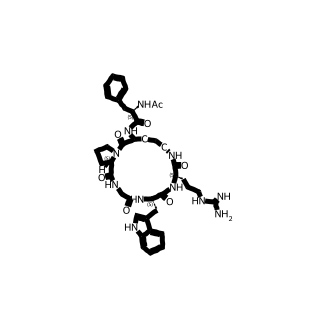 CC(=O)N[C@@H](Cc1ccccc1)C(=O)NC1CCCNC(=O)[C@H](CCCNC(=N)N)NC(=O)[C@H](Cc2c[nH]c3ccccc23)NC(=O)CNC(=O)[C@@H]2CCCN2C1=O